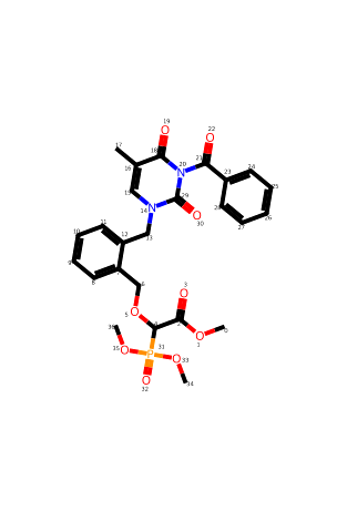 COC(=O)C(OCc1ccccc1Cn1cc(C)c(=O)n(C(=O)c2ccccc2)c1=O)P(=O)(OC)OC